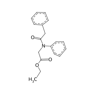 CCOC(=O)CN(C(=O)Cc1ccccc1)c1ccccc1